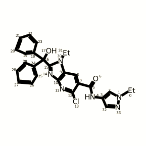 CCn1cc(NC(=O)c2cc3c(nc2Cl)nc(C(O)(c2ccccc2)c2ccccc2)n3CC)cn1